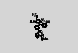 C=CCN1C[C@H](C)N([C@@H](c2cccc(O)c2)c2cccc(C(=O)N3CCC[C@H]3C(=O)OC)c2)C[C@H]1C